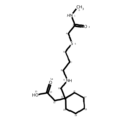 CNC(=O)CSCCCNCC1(CC(=O)O)CCCCC1